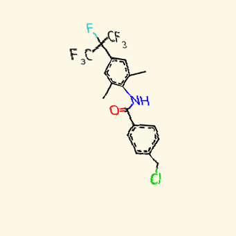 Cc1cc(C(F)(C(F)(F)F)C(F)(F)F)cc(C)c1NC(=O)c1ccc(CCl)cc1